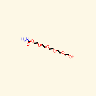 NC(=O)OCCOCCOCCOCCOCCO